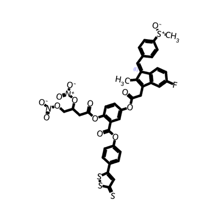 CC1=C(CC(=O)Oc2ccc(OC(=O)CC(CO[N+](=O)[O-])O[N+](=O)[O-])c(C(=O)Oc3ccc(-c4cc(=S)ss4)cc3)c2)c2cc(F)ccc2/C1=C\c1ccc([S+](C)[O-])cc1